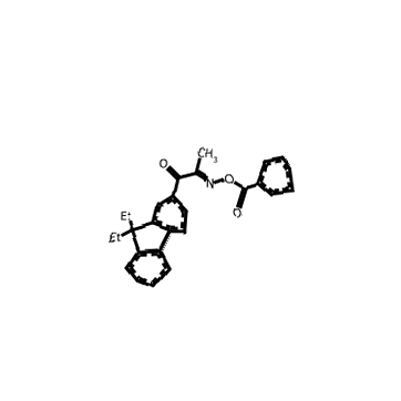 CCC1(CC)c2ccccc2-c2ccc(C(=O)C(C)=NOC(=O)c3ccccc3)cc21